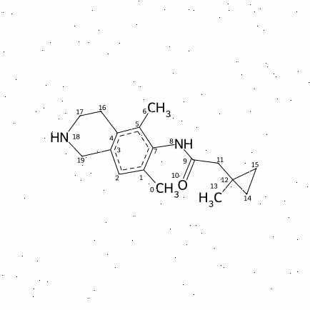 Cc1cc2c(c(C)c1NC(=O)CC1(C)CC1)CCNC2